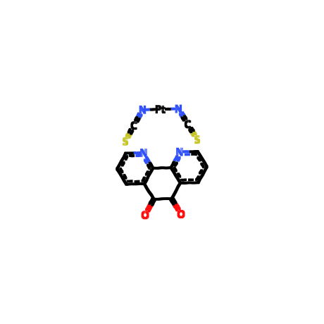 O=C1C(=O)c2cccnc2-c2ncccc21.S=C=[N][Pt][N]=C=S